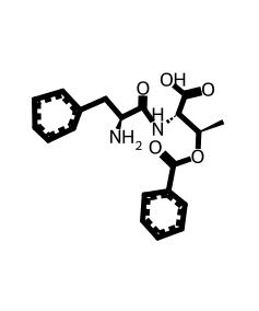 C[C@@H](OC(=O)c1ccccc1)[C@H](NC(=O)[C@@H](N)Cc1ccccc1)C(=O)O